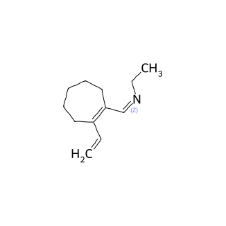 C=CC1=C(/C=N\CC)CCCCC1